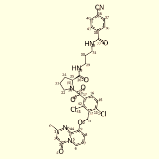 Cc1cc(=O)n2cccc(OCc3c(Cl)ccc(S(=O)(=O)N4CCC[C@H]4C(=O)NCCCNC(=O)c4ccc(C#N)cc4)c3Cl)c2n1